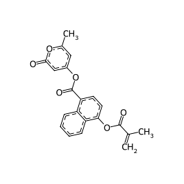 C=C(C)C(=O)Oc1ccc(C(=O)Oc2cc(C)oc(=O)c2)c2ccccc12